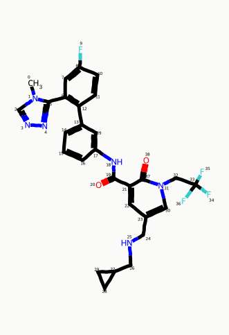 Cn1cnnc1-c1cc(F)ccc1-c1cccc(NC(=O)c2cc(CNCC3CC3)cn(CC(F)(F)F)c2=O)c1